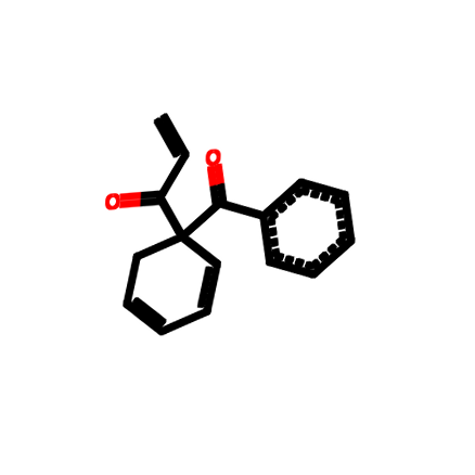 C=CC(=O)C1(C(=O)c2ccccc2)C=CC=CC1